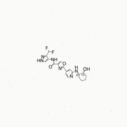 O=C(Nc1c[nH]nc1C(F)F)c1coc(-c2ccnc(N[C@@H]3CCCC[C@@H]3O)c2)n1